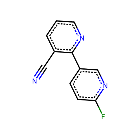 N#Cc1cccnc1-c1ccc(F)nc1